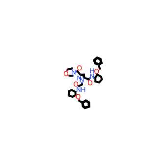 O=C(Cn1nc(C(=O)N2CCOCC2)cc1C(=O)N[C@H]1CCCC[C@@H]1OCc1ccccc1)N[C@H]1CCCC[C@@H]1OCc1ccccc1